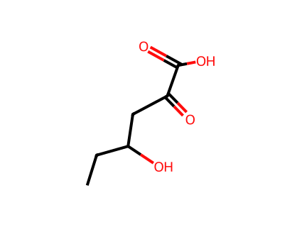 CCC(O)CC(=O)C(=O)O